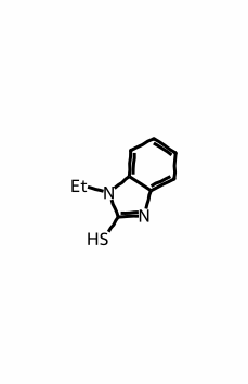 [CH2]Cn1c(S)nc2ccccc21